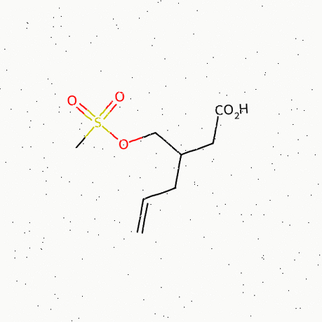 C=CCC(COS(C)(=O)=O)CC(=O)O